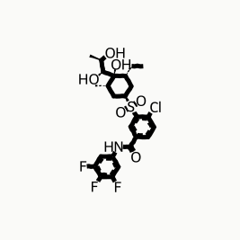 CC[C@@H]1C[C@@H](S(=O)(=O)c2cc(C(=O)Nc3cc(F)c(F)c(F)c3)ccc2Cl)C[C@H](C)[C@@]1(O)[C@H](O)[C@@H](C)O